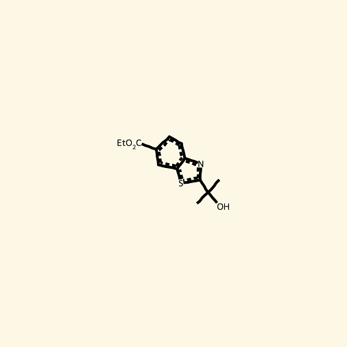 CCOC(=O)c1ccc2nc(C(C)(C)O)sc2c1